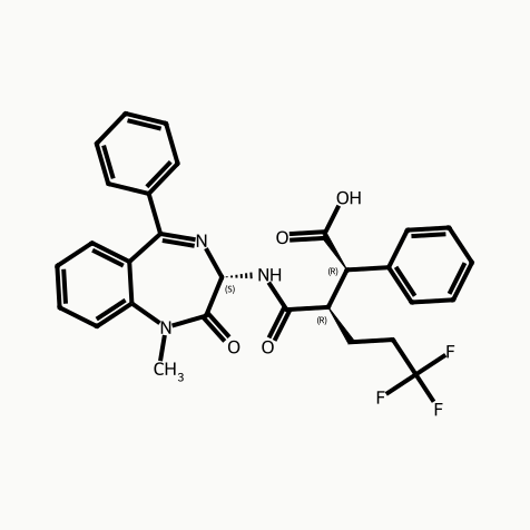 CN1C(=O)[C@@H](NC(=O)[C@H](CCC(F)(F)F)[C@@H](C(=O)O)c2ccccc2)N=C(c2ccccc2)c2ccccc21